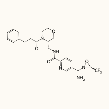 NC(c1ccc(C(=O)NC[C@H]2COCCN2C(=O)CCc2ccccc2)nc1)N1O[C@H]1C(F)(F)F